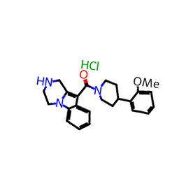 COc1ccccc1C1CCN(C(=O)c2c3n(c4ccccc24)CCNC3)CC1.Cl